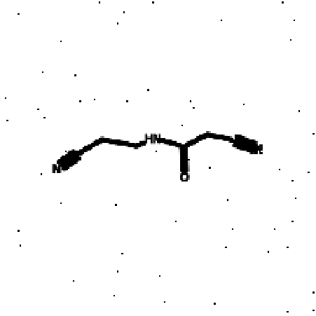 N#CCCNC(=O)CC#N